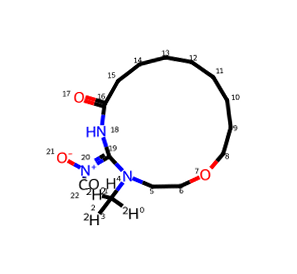 [2H]C([2H])([2H])N1CCOCCCCCCCCC(=O)N/C1=[N+](\[O-])C(=O)O